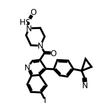 N#CC1(c2ccc(-c3c(C(=O)N4CCN([SH]=O)CC4)cnc4ccc(I)cc34)cc2)CC1